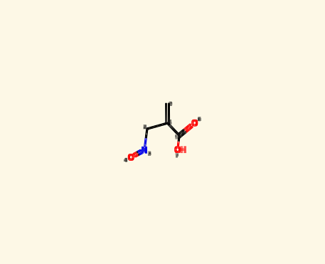 C=C(CN=O)C(=O)O